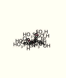 Cc1c(C#N)c(Nc2ccc(Cl)c(S(=O)(=O)O)c2)nc(Nc2ccc(Cl)c(S(=O)(=O)O)c2)c1N=Nc1sc(/N=N/c2cc(S(=O)(=O)O)c3cc(S(=O)(=O)O)cc(S(=O)(=O)O)c3c2)c(-c2ccc(NC(=O)NCCO)cc2)c1C#N